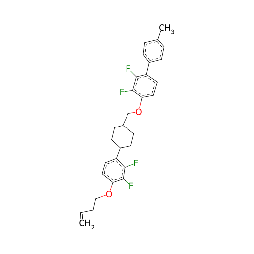 C=CCCOc1ccc(C2CCC(COc3ccc(-c4ccc(C)cc4)c(F)c3F)CC2)c(F)c1F